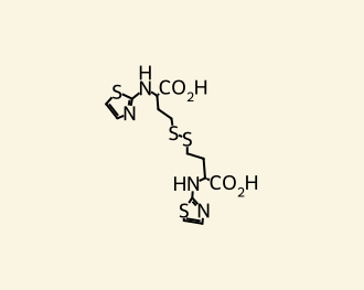 O=C(O)[C@H](CCSSCC[C@H](Nc1nccs1)C(=O)O)Nc1nccs1